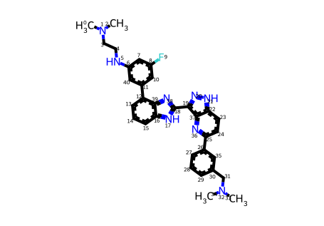 CN(C)CCNc1cc(F)cc(-c2cccc3[nH]c(-c4n[nH]c5ccc(-c6cccc(CN(C)C)c6)nc45)nc23)c1